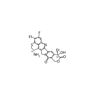 CCc1c(F)cc2nc3c(c4c2c1SC[C@H]4N)Cn1c-3cc2c(c1=O)COC(=O)[C@]2(O)CC